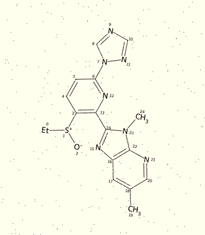 CC[S+]([O-])c1ccc(-n2cncn2)nc1-c1nc2cc(C)cnc2n1C